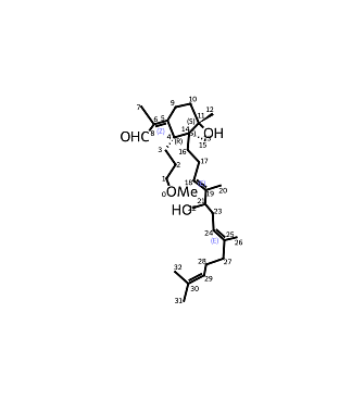 COCCC[C@@H]1/C(=C(/C)C=O)CC[C@](C)(O)[C@@]1(C)CC/C=C(\C)C(O)C/C=C(\C)CCC=C(C)C